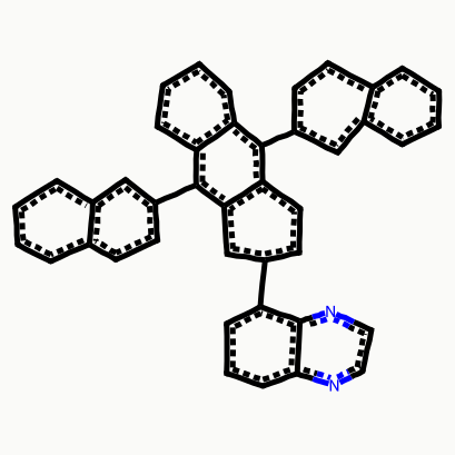 c1ccc2cc(-c3c4ccccc4c(-c4ccc5ccccc5c4)c4cc(-c5cccc6nccnc56)ccc34)ccc2c1